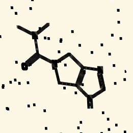 CN(C)C(=O)N1Cc2nc[nH]c2C1